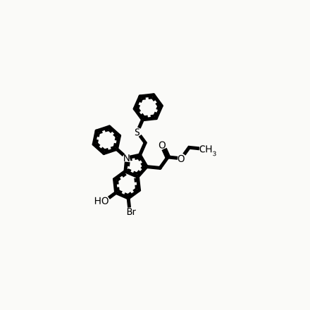 CCOC(=O)Cc1c(CSc2ccccc2)n(-c2ccccc2)c2cc(O)c(Br)cc12